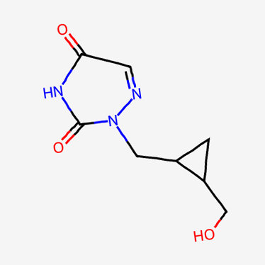 O=c1cnn(CC2CC2CO)c(=O)[nH]1